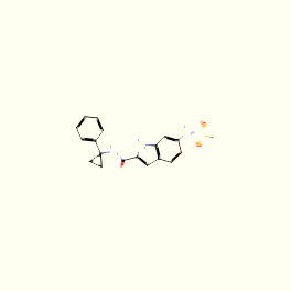 CS(=O)(=O)Nc1ccc2cc(C(=O)NC3(c4ccccc4)CC3)[nH]c2c1